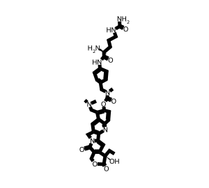 CC[C@@]1(O)C(=O)OCc2c1cc1n(c2=O)Cc2cc3c(CN(C)C)c(OC(=O)N(C)Cc4ccc(NC(=O)[C@@H](N)CCCNC(N)=O)cc4)ccc3nc2-1